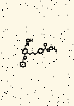 COC(=O)c1ccc(CCCc2cc(C=NO)ccc2OCc2ccccc2)cc1